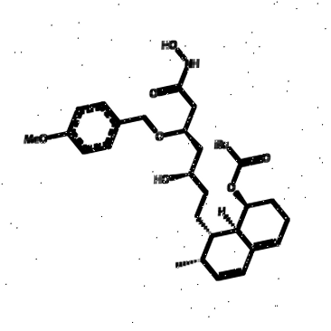 CCC(C)C(=O)O[C@H]1CCC=C2C=C[C@H](C)[C@H](CC[C@@H](O)C[C@H](CC(=O)NO)OCc3ccc(OC)cc3)[C@H]21